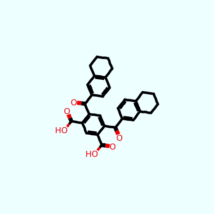 O=C(O)c1cc(C(=O)O)c(C(=O)c2ccc3c(c2)CCCC3)cc1C(=O)c1ccc2c(c1)CCCC2